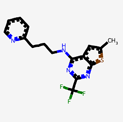 Cc1cc2c(NCCCc3ccccn3)nc(C(F)(F)F)nc2s1